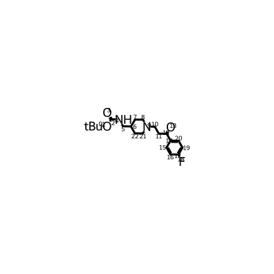 CC(C)(C)OC(=O)NCC1CCN(CCC(=O)c2ccc(F)cc2)CC1